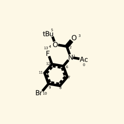 CC(=O)N(C(=O)OC(C)(C)C)c1ccc(Br)cc1F